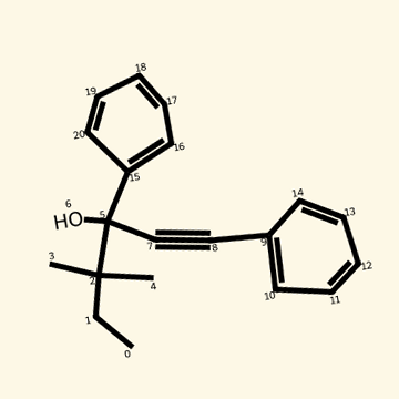 CCC(C)(C)C(O)(C#Cc1ccccc1)c1ccccc1